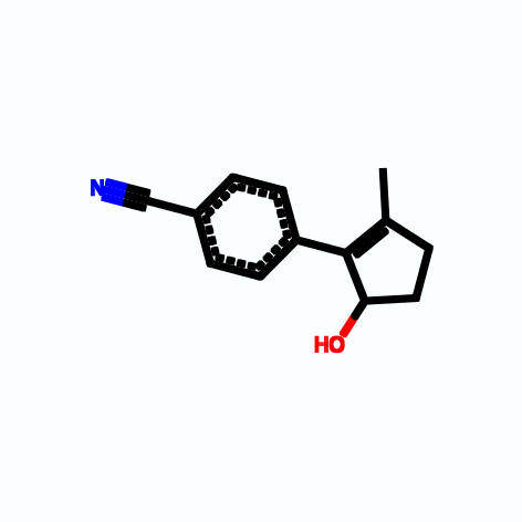 CC1=C(c2ccc(C#N)cc2)C(O)CC1